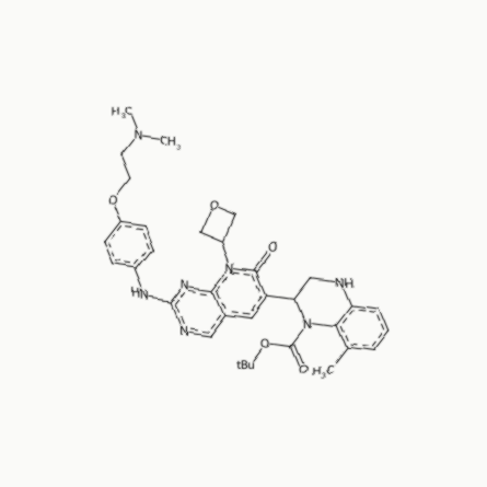 Cc1cccc2c1N(C(=O)OC(C)(C)C)C(c1cc3cnc(Nc4ccc(OCCN(C)C)cc4)nc3n(C3COC3)c1=O)CN2